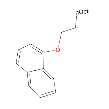 CCCCCCCC[CH]COc1cccc2ccccc12